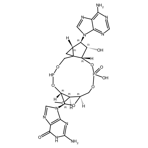 CO[C@H]1[C@H]2OPOCC34C[C@@H]3[C@@H](n3cnc5c(N)ncnc53)[C@H](O)[C@@H]4OP(=O)(O)OC[C@H]1O[C@H]2n1cnc2c(=O)[nH]c(N)nc21